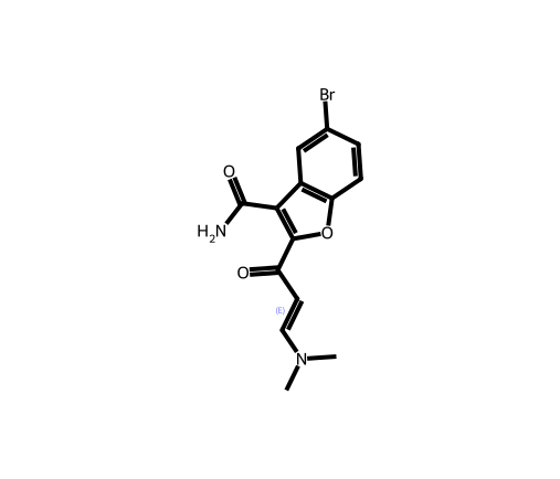 CN(C)/C=C/C(=O)c1oc2ccc(Br)cc2c1C(N)=O